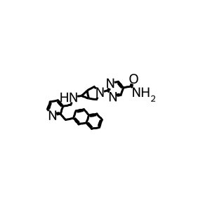 NC(=O)c1cnc(N2CC3C(C2)C3NCc2cccnc2Cc2ccc3ccccc3c2)nc1